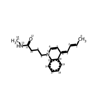 C/C=C/C=C1\C=CN(CCCC(=O)NC)c2ccccc21